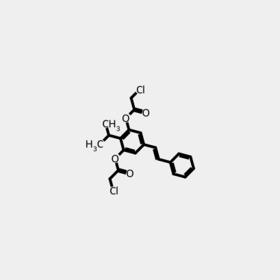 CC(C)c1c(OC(=O)CCl)cc(/C=C/c2ccccc2)cc1OC(=O)CCl